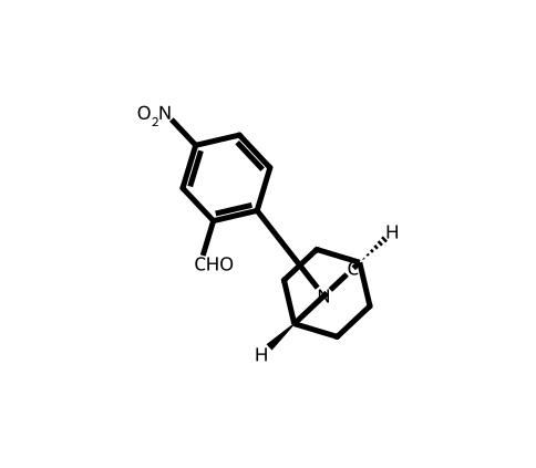 O=Cc1cc([N+](=O)[O-])ccc1N1C[C@H]2CC[C@@H](CC2)C1